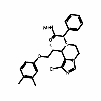 CNC(=O)[C@@H](c1ccccc1)N1CCn2cnc(Cl)c2C1[C@@H](C)COc1ccc(C)c(C)c1